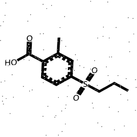 CCCS(=O)(=O)c1ccc(C(=O)O)c(C)c1